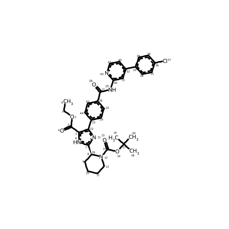 CCOC(=O)c1[nH]c([C@@H]2CCCCN2C(=O)OC(C)(C)C)nc1-c1ccc(C(=O)Nc2cc(-c3ccc(Cl)cc3)ccn2)cc1